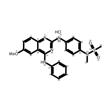 COc1ccc2nc(Nc3ccc(N(C)S(C)(=O)=O)cc3)nc(Nc3ccccc3)c2c1.Cl